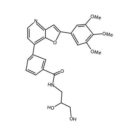 COc1cc(-c2cc3nccc(-c4cccc(C(=O)NCC(O)CO)c4)c3o2)cc(OC)c1OC